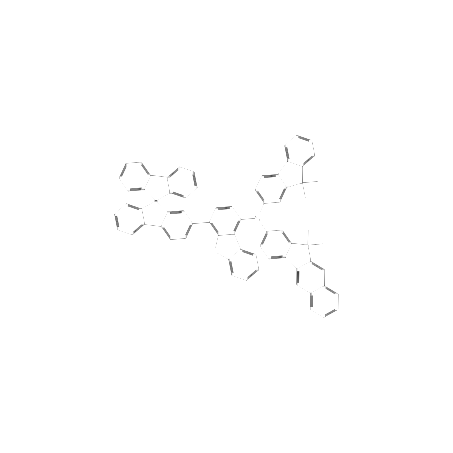 CC1(C)c2ccccc2-c2ccc(N(c3ccc4c(c3)C(C)(C)c3cc5ccccc5cc3-4)c3ccc(-c4ccc5c(c4)C4(c6ccccc6-c6ccccc64)c4ccccc4-5)c4oc5ccccc5c34)cc21